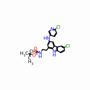 CC(C)(C)OC(=O)NCCc1cc(Nc2ccc(Cl)nc2)cc2c1[nH]c1ccc(Cl)cc12